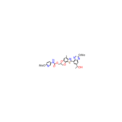 COc1ccc(NC(=O)OCC2COc3c(cc(C)c4nc(-c5cc(C(C)O)cc6nc(OC)cnc56)sc34)O2)cn1